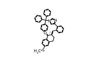 CSc1ccc2c(c1)CC/C(=C\c1ccccc1-c1cn(C(c3ccccc3)(c3ccccc3)c3ccccc3)cn1)C2=O